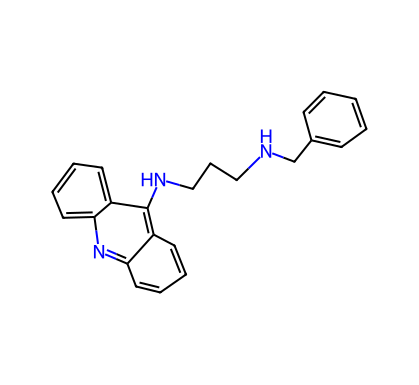 c1ccc(CNCCCNc2c3ccccc3nc3ccccc23)cc1